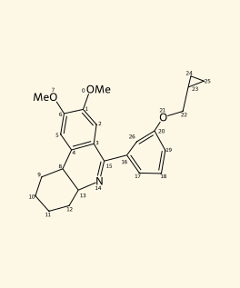 COc1cc2c(cc1OC)C1CCCCC1N=C2c1cccc(OCC2CC2)c1